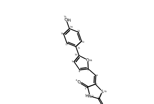 O=C1NC(=O)/C(=C\c2ccc(-c3ccc(O)cc3)o2)S1